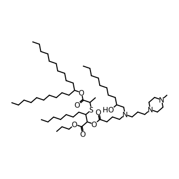 CCCCCCCCCCC(CCCCCCCCCC)OC(=O)C(C)SC(CCCCCCC)C(OC(=O)CCCN(CCCN1CCN(C)CC1)CC(O)CCCCCCCC)C(=O)OCCC